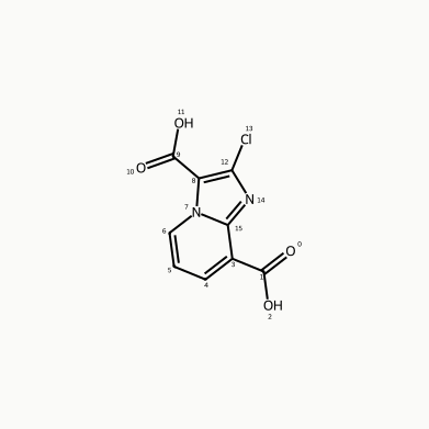 O=C(O)c1cccn2c(C(=O)O)c(Cl)nc12